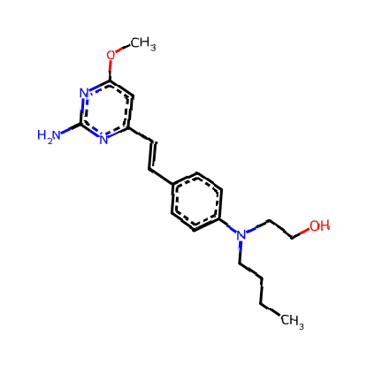 CCCCN(CCO)c1ccc(/C=C/c2cc(OC)nc(N)n2)cc1